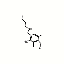 CCCCNCc1cc(C)c(C=O)c(C)c1O